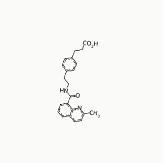 Cc1ccc2cccc(C(=O)NCCc3ccc(CCC(=O)O)cc3)c2n1